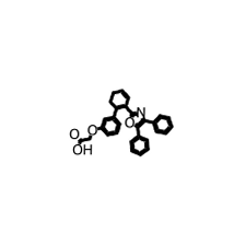 O=C(O)COc1cccc(C2=C(c3nc(-c4ccccc4)c(-c4ccccc4)o3)C=CCC2)c1